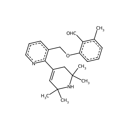 Cc1cccc(OCc2cccnc2C2=CC(C)(C)NC(C)(C)C2)c1C=O